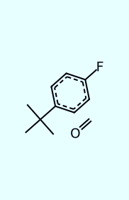 C=O.CC(C)(C)c1ccc(F)cc1